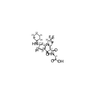 O=C(O)CNC(=O)c1cn(CC(F)(F)F)c2cc(NC3CCCCC3)c(F)cc2c1=O